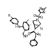 Cc1cc(Nc2ccc(F)cc2)c(C=N)cc1[C@]12CN(S(=O)(=O)c3cnn(C)n3)C[C@H]1[C@@H]2C(=O)Nc1ccccc1